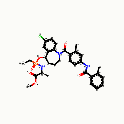 COCP(=O)(N[C@@H](C)C(=O)OC(C)C)O[C@@H]1CCCN(C(=O)c2ccc(NC(=O)c3ccccc3C)cc2C)c2ccc(Cl)cc21